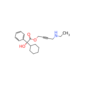 CCNCC#CCOC(=O)[C@@](O)(c1ccccc1)C1CCCCC1